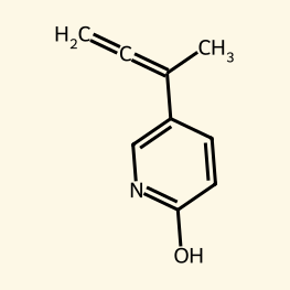 C=C=C(C)c1ccc(O)nc1